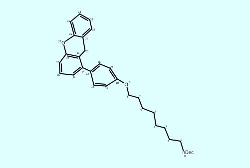 CCCCCCCCCCCCCCCCCCOc1ccc(-c2cccc3c2[CH]c2ccccc2O3)cc1